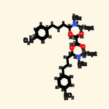 CCCCCCCN(CCCC)C(CCCc1ccc([N+](=O)[O-])cc1)OC(=O)C(=O)OC(CCCc1ccc([N+](=O)[O-])cc1)N(CCCC)CCCCCCC